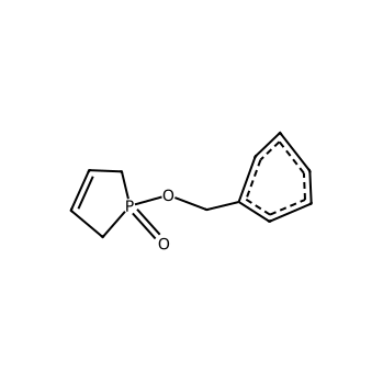 O=P1(OCc2ccccc2)CC=CC1